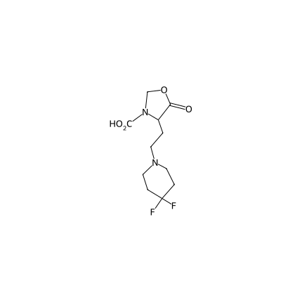 O=C1OCN(C(=O)O)C1CCN1CCC(F)(F)CC1